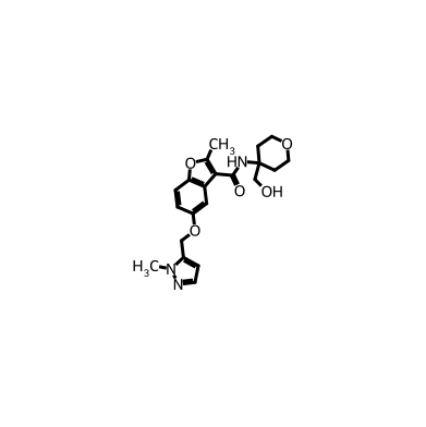 Cc1oc2ccc(OCc3ccnn3C)cc2c1C(=O)NC1(CO)CCOCC1